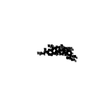 CCNC(=O)OC1=C(C)C2=CC=C3[C@@](C)(CC[C@@]4(C)[C@@H]5C[C@](C)(C(N)=O)CC[C@]5(C)CC[C@]34C)C2=CC1=O